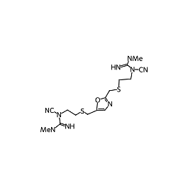 CNC(=N)N(C#N)CCSCc1cnc(CSCCN(C#N)C(=N)NC)o1